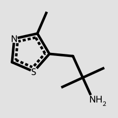 Cc1ncsc1CC(C)(C)N